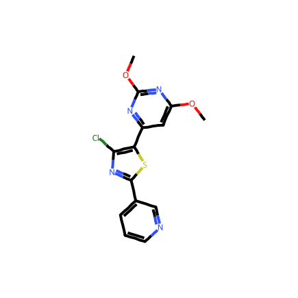 COc1cc(-c2sc(-c3cccnc3)nc2Cl)nc(OC)n1